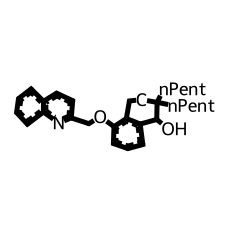 CCCCCC1(CCCCC)CCc2c(OCc3ccc4ccccc4n3)cccc2C1O